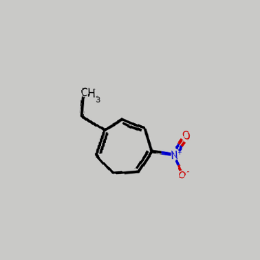 CCC1=CCC=C([N+](=O)[O-])C=C1